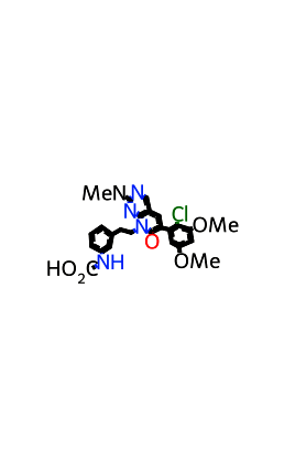 CNc1ncc2cc(-c3cc(OC)cc(OC)c3Cl)c(=O)n(CCc3cccc(NC(=O)O)c3)c2n1